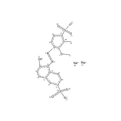 COc1c(N=Nc2c(O)ccc3cc(S(=O)(=O)[O-])ccc23)ccc(S(=O)(=O)[O-])c1C.[Na+].[Na+]